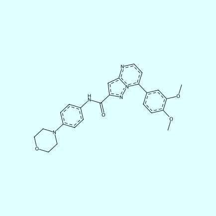 COc1ccc(-c2ccnc3cc(C(=O)Nc4ccc(N5CCOCC5)cc4)nn23)cc1OC